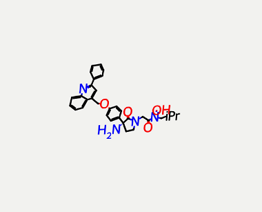 CC(C)CN(O)C(=O)CN1CC[C@@](N)(c2ccc(OCc3cc(-c4ccccc4)nc4ccccc34)cc2)C1=O